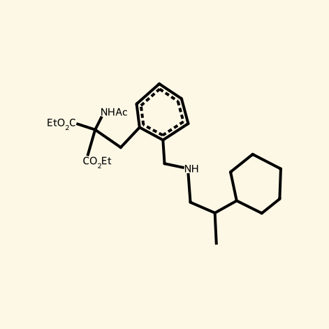 CCOC(=O)C(Cc1ccccc1CNCC(C)C1CCCCC1)(NC(C)=O)C(=O)OCC